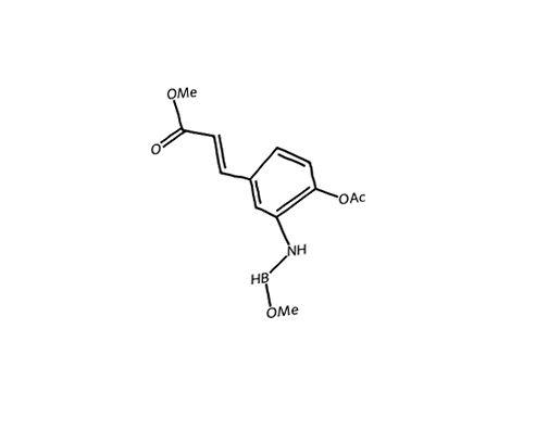 COBNc1cc(/C=C/C(=O)OC)ccc1OC(C)=O